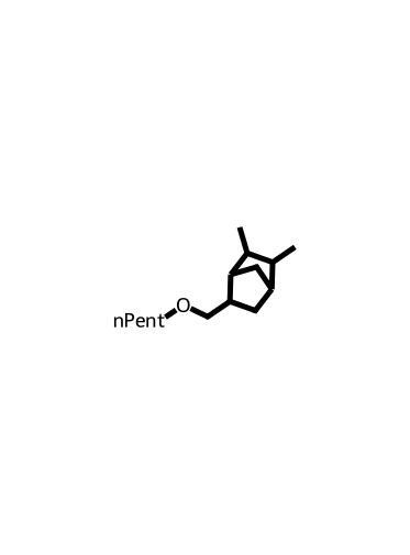 CCCCCOCC1CC2CC1C(C)C2C